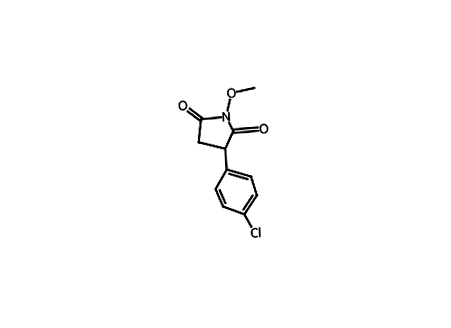 CON1C(=O)CC(c2ccc(Cl)cc2)C1=O